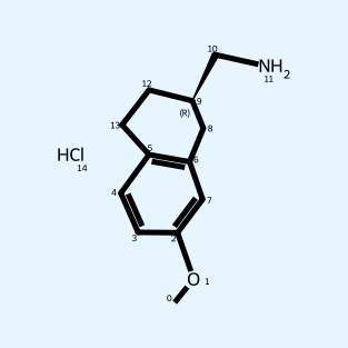 COc1ccc2c(c1)C[C@H](CN)CC2.Cl